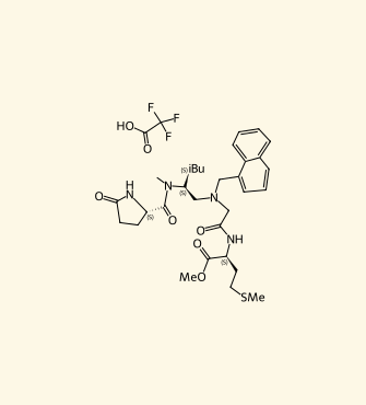 CC[C@H](C)[C@@H](CN(CC(=O)N[C@@H](CCSC)C(=O)OC)Cc1cccc2ccccc12)N(C)C(=O)[C@@H]1CCC(=O)N1.O=C(O)C(F)(F)F